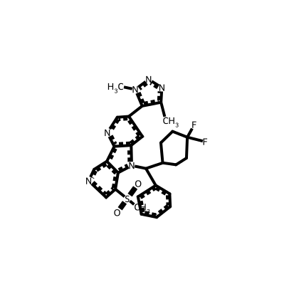 Cc1nnn(C)c1-c1cnc2c3cncc(S(C)(=O)=O)c3n(C(c3ccccc3)C3CCC(F)(F)CC3)c2c1